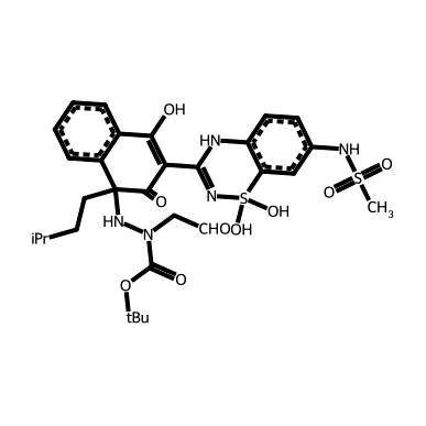 CC(C)CCC1(NN(CC=O)C(=O)OC(C)(C)C)C(=O)C(C2=NS(O)(O)c3cc(NS(C)(=O)=O)ccc3N2)=C(O)c2ccccc21